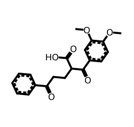 COc1ccc(C(=O)C(CCC(=O)c2ccccc2)C(=O)O)cc1OC